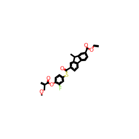 C=COC(=O)c1ccc2c(c1)C(C)c1cc(C(=O)Sc3ccc(OC(=O)C(=C)COC)c(F)c3)ccc1-2